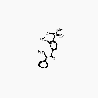 CC(C)S(=O)(=O)c1ccc(C(=O)C(O)c2ccccc2)cc1C#N